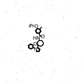 Cc1cc(C(=O)NC2CCCCC3(C2)Oc2ccccc2-n2cccc23)ccc1OC(C)C